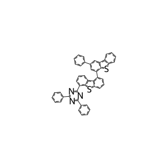 c1ccc(-c2cc(-c3cccc4sc5c(-c6nc(-c7ccccc7)nc(-c7ccccc7)n6)cccc5c34)c3sc4ccccc4c3c2)cc1